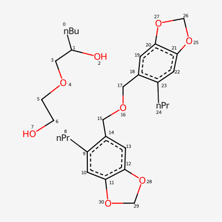 CCCCC(O)COCCO.CCCc1cc2c(cc1COCc1cc3c(cc1CCC)OCO3)OCO2